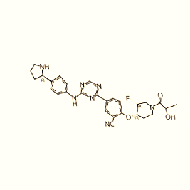 CC(O)C(=O)N1CC[C@H](Oc2ccc(-c3ncnc(Nc4ccc([C@H]5CCCN5)cc4)n3)cc2C#N)[C@H](F)C1